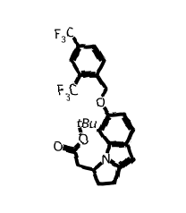 CC(C)(C)OC(=O)CC1CCc2cc3ccc(OCc4ccc(C(F)(F)F)cc4C(F)(F)F)cc3n21